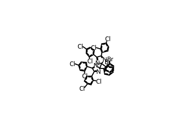 Clc1ccc(C2=NC(c3ccccc3Br)(C3(c4ccccc4Br)N=C(c4ccc(Cl)cc4Cl)C(c4ccc(Cl)cc4Cl)=N3)N=C2c2ccc(Cl)cc2Cl)c(Cl)c1